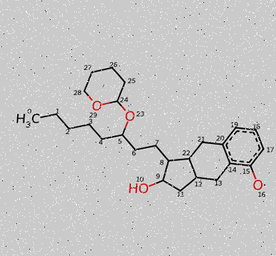 CCCCCC(CCC1C(O)CC2Cc3c([O])cccc3CC21)OC1CCCCO1